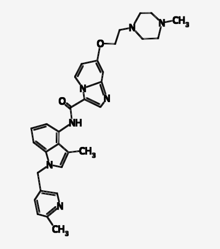 Cc1ccc(Cn2cc(C)c3c(NC(=O)c4cnc5cc(OCCN6CCN(C)CC6)ccn45)cccc32)cn1